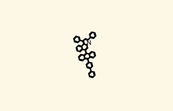 c1ccc(-c2ccc(-c3c4ccccc4c(-c4cc5nc(-c6ccccc6)cc(-c6ccccc6)c5c5ccccc45)c4ccccc34)cc2)cc1